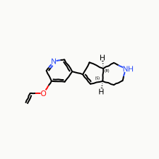 C=COc1cncc(C2=C[C@@H]3CCNC[C@@H]3C2)c1